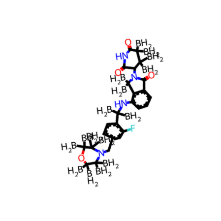 BC(B)(Nc1cccc2c1C(B)(B)N(C1C(=O)NC(=O)C(B)(B)C1(B)B)C2=O)c1ccc(CN2C(B)(B)C(B)(B)OC(B)(B)C2(B)B)cc1F